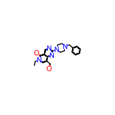 CCn1cc(C=O)c2nc(N3CCN(Cc4ccccc4)CC3)ncc2c1=O